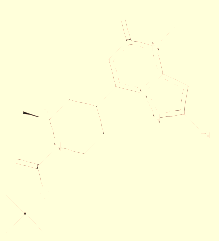 C[C@H]1CC(c2cc(=O)n(C)c3cc(Br)nn23)CCN1C(=O)OC(C)(C)C